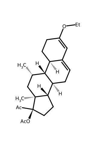 CCOC1=CC2=CC[C@@H]3[C@H]([C@@H](C)C[C@@]4(C)[C@H]3CC[C@]4(OC(C)=O)C(C)=O)[C@H]2CC1